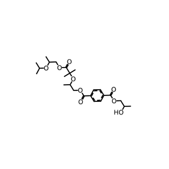 CC(O)COC(=O)c1ccc(C(=O)OCC(C)OC(C)(C)C(=O)OCC(C)OC(C)C)cc1